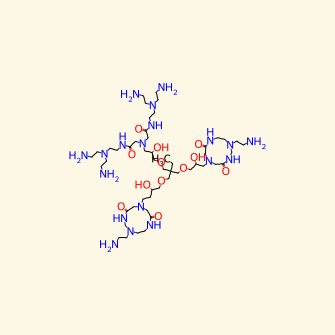 CCC(COCC(O)CCN1CC(=O)NCCN(CCN)CNC(=O)C1)(COCC(O)CN(CC(=O)NCCN(CCN)CCN)CC(=O)NCCN(CCN)CCN)COCC(O)CN1CC(=O)NCCN(CCN)CNC(=O)C1